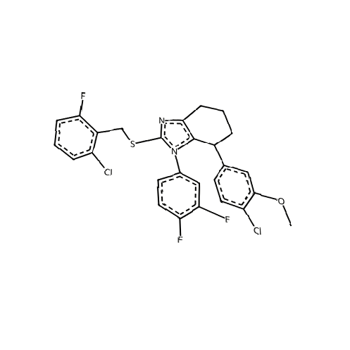 COc1cc(C2CCCc3nc(SCc4c(F)cccc4Cl)n(-c4ccc(F)c(F)c4)c32)ccc1Cl